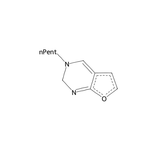 CCCCCN1C=c2ccoc2=NC1